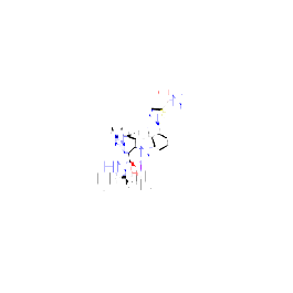 BC(B)(B)NC(=O)c1nnccc1Nc1cccc(-c2ncc(C(=O)N(C)C)s2)c1OC